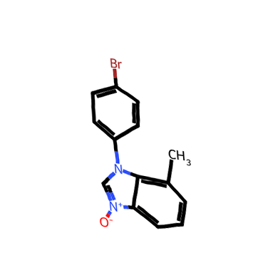 Cc1cccc2c1n(-c1ccc(Br)cc1)c[n+]2[O-]